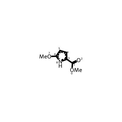 COC(=O)c1ccc(OC)[nH]1